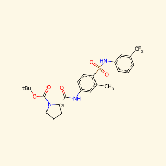 Cc1cc(NC(=O)[C@@H]2CCCN2C(=O)OC(C)(C)C)ccc1S(=O)(=O)Nc1cccc(C(F)(F)F)c1